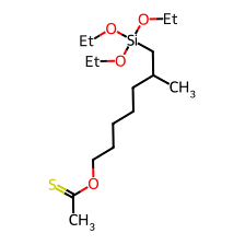 CCO[Si](CC(C)CCCCCOC(C)=S)(OCC)OCC